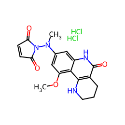 COc1cc(N(C)N2C(=O)C=CC2=O)cc2[nH]c(=O)c3c(c12)NCCC3.Cl.Cl